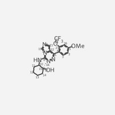 COc1ccc(-c2nnc(NC3CCCC[C@]3(C)O)n3cncc23)c(OC(F)(F)F)c1